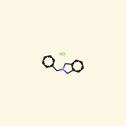 Cl.c1ccc(CN2Cc3ccccc3C2)cc1